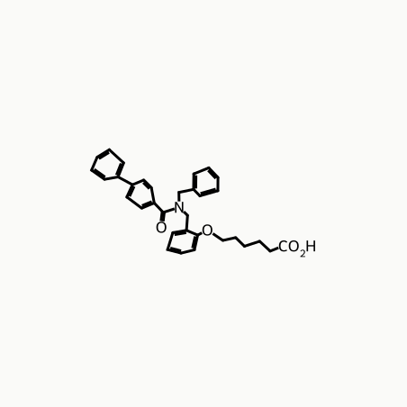 O=C(O)CCCCCOc1ccccc1CN(Cc1ccccc1)C(=O)c1ccc(-c2ccccc2)cc1